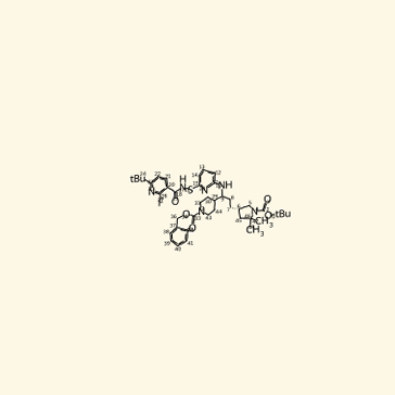 CC(C)(C)OC(=O)N1C[C@@H](CCC(Nc2cccc(SNC(=O)c3ccc(C(C)(C)C)nc3F)n2)C2CCN(C(=O)OCc3ccccc3)CC2)CC1(C)C